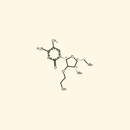 Cc1cn([C@@H]2O[C@H](CC(C)(C)C)[C@H](C(C)(C)C)C2OCCO)c(=O)nc1N